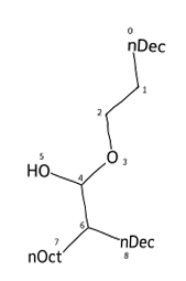 CCCCCCCCCCCCOC(O)C(CCCCCCCC)CCCCCCCCCC